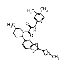 Cc1cnc(NC(=O)C(=O)N2C[C@@H](C)CC[C@@H]2c2ccc3sc(C4CN(C)C4)nc3c2)cc1C